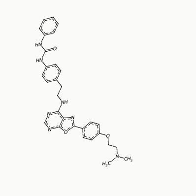 CN(C)CCOc1ccc(-c2nc3c(NCCc4ccc(NC(=O)Nc5ccccc5)cc4)ncnc3o2)cc1